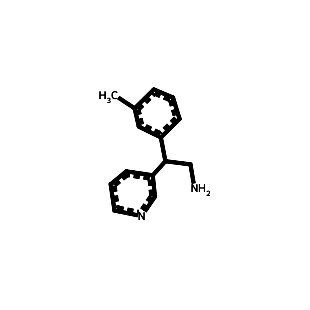 Cc1cccc(C(CN)c2cccnc2)c1